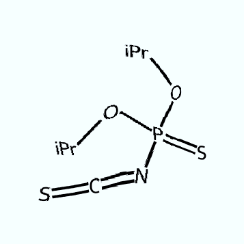 CC(C)OP(=S)(N=C=S)OC(C)C